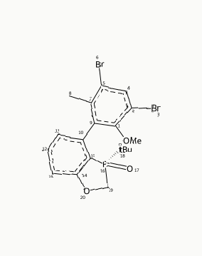 COc1c(Br)cc(Br)c(C)c1-c1cccc2c1[P@](=O)(C(C)(C)C)CO2